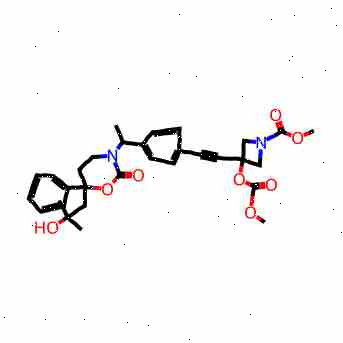 COC(=O)OC1(C#Cc2ccc(C(C)N3CCC(CC(C)(C)O)(c4ccccc4)OC3=O)cc2)CN(C(=O)OC)C1